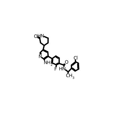 CC(NC(=O)c1ccc(-c2cc(C3CCNC(=O)C3)cnc2N)cc1F)c1cccc(Cl)c1